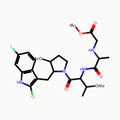 COC(C)C(NC(=O)C(C)NCC(=O)OC(C)(C)C)C(=O)N1CCC(OC(C)=O)C1Cc1c(Cl)[nH]c2cc(F)ccc12